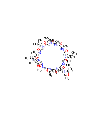 C/C=C/C[C@@H](C)[C@@H](O)[C@H]1C(=O)N[C@@H](CC)C(=O)N(C)[C@H](C)C(=O)N(C)[C@@H]([C@H](C)CN2C[C@H](C)OC[C@@H]2C)C(=O)N[C@@H](C(C)C)C(=O)N(C)[C@@H](CCC(C)C)C(=O)N[C@@H](C)C(=O)N[C@H](C)C(=O)N(C)[C@@H](CC(C)C)C(=O)N(C)[C@@H](CCC(C)C)C(=O)N(C)[C@@H](C(C)C)C(=O)N1C